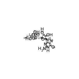 C#CCP(=O)(O)OP(=O)(O)OC[C@H]1O[C@@H](n2cnc3c(=O)[nH]c(N)nc32)C(O)C1O